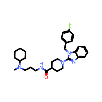 CN(CCCNC(=O)C1CCN(c2nc3ccccc3n2Cc2ccc(F)cc2)CC1)C1CCCCC1